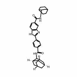 O=C(NC1CC2CCC1CC2)c1ccc2[nH]c(-c3ccc(C(=O)NC4[C@H]5C[C@@H]6C[C@@H](C[C@H]4C6)C5)cc3)nc2c1